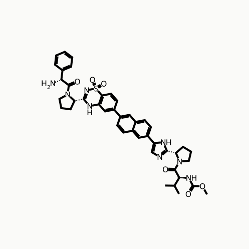 COC(=O)N[C@H](C(=O)N1CCC[C@H]1c1ncc(-c2ccc3cc(-c4ccc5c(c4)NC([C@@H]4CCCN4C(=O)[C@H](N)c4ccccc4)=NS5(=O)=O)ccc3c2)[nH]1)C(C)C